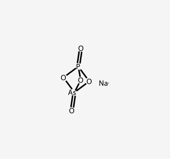 O=P12O[As](=O)(O1)O2.[Na]